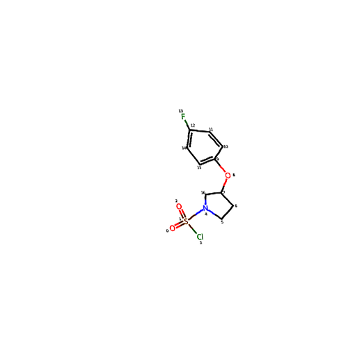 O=S(=O)(Cl)N1CCC(Oc2ccc(F)cc2)C1